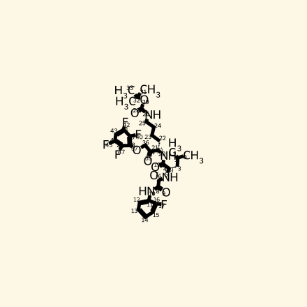 CC(C)C[C@H](NC(=O)C(=O)Nc1ccccc1F)C(=O)N[C@@H](CCCCNC(=O)OC(C)(C)C)C(=O)COc1c(F)c(F)cc(F)c1F